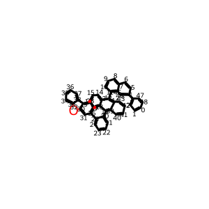 c1ccc(-c2ccc3cccc(-c4c5ccccc5c(-c5ccccc5-c5ccc6c(c5)oc5ccccc56)c5ccccc45)c3c2)cc1